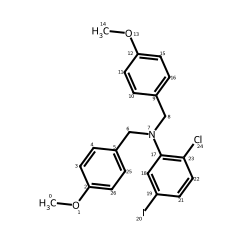 COc1ccc(CN(Cc2ccc(OC)cc2)c2cc(I)ccc2Cl)cc1